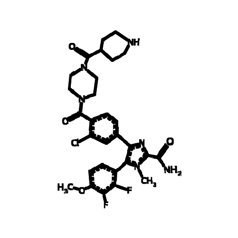 COc1ccc(-c2c(-c3ccc(C(=O)N4CCN(C(=O)C5CCNCC5)CC4)c(Cl)c3)nc(C(N)=O)n2C)c(F)c1F